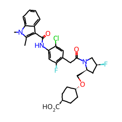 Cc1c(C(=O)Nc2cc(F)c(CC(=O)N3C[C@@H](F)C[C@H]3CO[C@H]3CC[C@H](C(=O)O)CC3)cc2Cl)c2ccccc2n1C